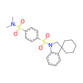 CN(C)S(=O)(=O)c1ccc(S(=O)(=O)N2CC3(CCCCC3)c3ccccc32)cc1